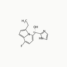 CCc1ccc2c(F)ccc([C@H](O)c3ncc[nH]3)n12